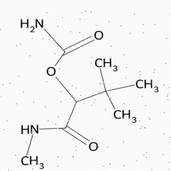 CNC(=O)C(OC(N)=O)C(C)(C)C